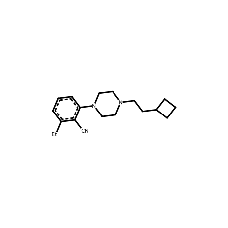 CCc1cccc(N2CCN(CCC3CCC3)CC2)c1C#N